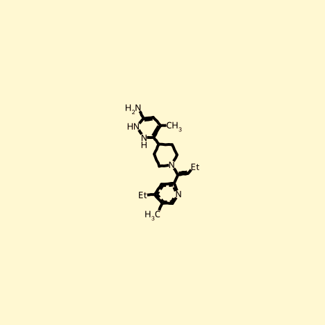 CC/C=C(/c1cc(CC)c(C)cn1)N1CCC(C2=C(C)C=C(N)NN2)CC1